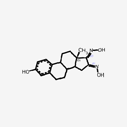 C[C@]12CCC3c4ccc(O)cc4CCC3C1CC(=N\O)/C2=N\O